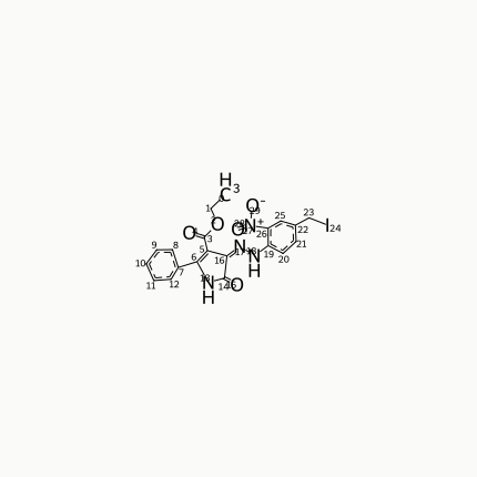 CCOC(=O)C1=C(c2ccccc2)NC(=O)/C1=N\Nc1ccc(CI)cc1[N+](=O)[O-]